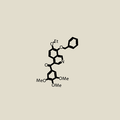 CCOc1ccc2c(C(=O)c3cc(OC)c(OC)c(OC)c3)cncc2c1OCc1ccccc1